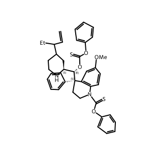 C=CC(CC)C1CCN[C@H]([C@H](OC(=S)Oc2ccccc2)[C@]2(c3ccccc3)CCN(C(=S)Oc3ccccc3)c3ccc(OC)cc32)C1